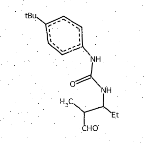 CCC(NC(=O)Nc1ccc(C(C)(C)C)cc1)C(C)C=O